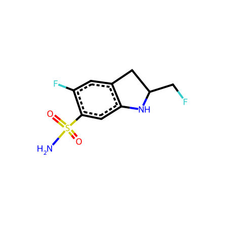 NS(=O)(=O)c1cc2c(cc1F)CC(CF)N2